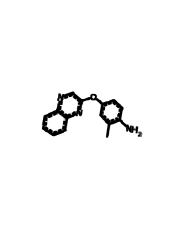 Cc1cc(Oc2cnc3ccccc3n2)ccc1N